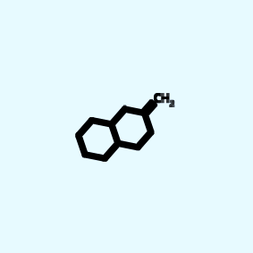 C=C1[CH]C2CCCCC2CC1